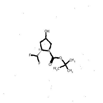 CC(C)(C)OC(=O)N1CC(O)C[C@H]1C(F)F